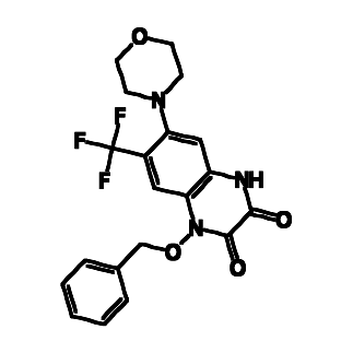 O=c1[nH]c2cc(N3CCOCC3)c(C(F)(F)F)cc2n(OCc2ccccc2)c1=O